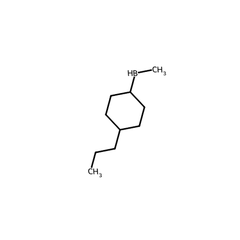 CBC1CCC(CCC)CC1